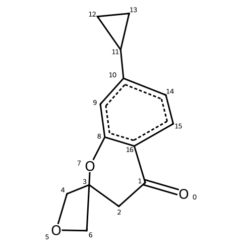 O=C1CC2(COC2)Oc2cc(C3CC3)ccc21